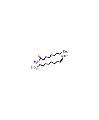 CCCCCCCC/C=C\CCCCCCCC(=O)OCC.CCCCCCCCCCCCCCCCCC(N)=O